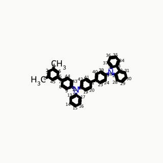 Cc1cc(C)cc(-c2ccc(N(c3ccccc3)c3ccc(-c4ccc(-n5c6ccccc6c6ccccc65)cc4)cc3)cc2)c1